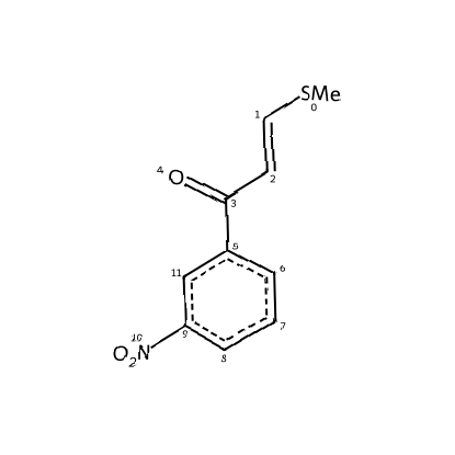 CSC=CC(=O)c1cccc([N+](=O)[O-])c1